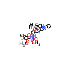 COC(=O)c1nc2c(CN(CC3CCN(Cc4ccccc4)CC3)C(=O)OC(C)(C)C)nccc2c(=O)n1Cc1ccc(OC)cc1OC